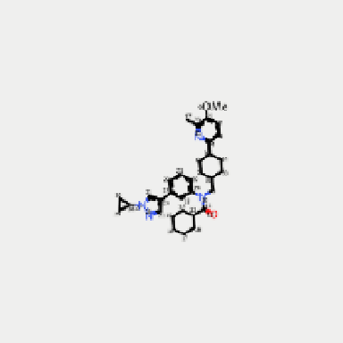 COc1ccc(C2CCC(CN(C(=O)C3CCCCC3)c3cccc(-c4cnn(C5CC5)c4)c3)CC2)nc1C